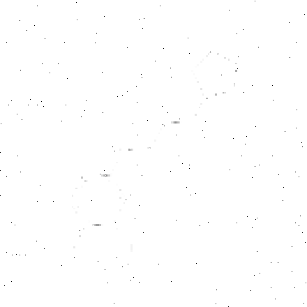 Cc1ccc(OCCCN2CCCC2)cc1[N+](=O)[O-]